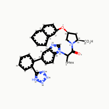 CCCCCCC(C(=O)N1C[C@@H](Oc2ccc3ccccc3c2)C[C@H]1C(=O)O)n1cnc2cc(-c3ccccc3-c3nnn[nH]3)ccc21